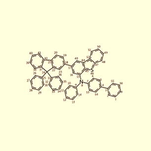 c1ccc(-c2ccc(N(c3ccccc3)c3cc(-c4ccc5c(c4)C(c4ccccc4)(c4ccccc4)c4ccccc4-5)cc4c3sc3ccccc34)cc2)cc1